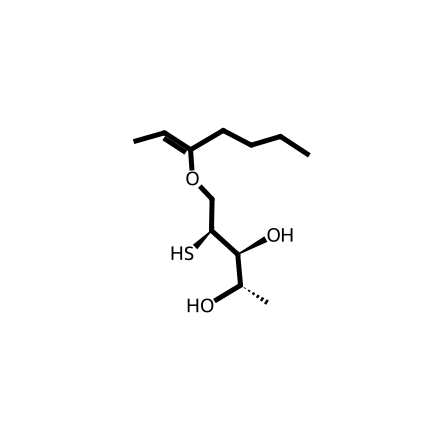 CC=C(CCCC)OC[C@H](S)[C@@H](O)[C@H](C)O